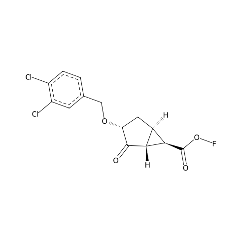 O=C(OF)[C@@H]1[C@@H]2C[C@@H](OCc3ccc(Cl)c(Cl)c3)C(=O)[C@H]21